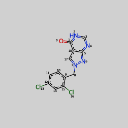 O=c1[nH]cnc2nn(Cc3ccc(Cl)cc3Cl)cc12